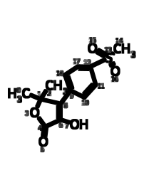 CC1(C)OC(=O)C(O)=C1c1ccc(S(C)(=O)=O)cc1